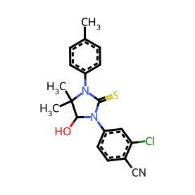 Cc1ccc(N2C(=S)N(c3ccc(C#N)c(Cl)c3)C(O)C2(C)C)cc1